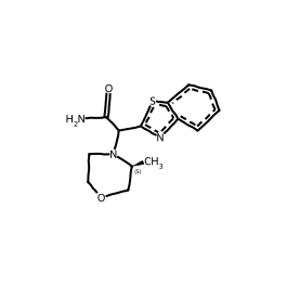 C[C@H]1COCCN1C(C(N)=O)c1nc2ccccc2s1